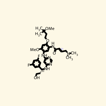 COc1cc(OCCC(C)(C)OC)c(NC(=O)/C=C/CN(C)C)cc1Nc1cc(N[C@H](CCO)c2cc(F)cc(F)c2)ncn1